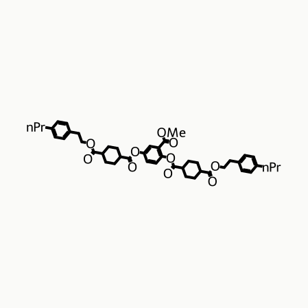 CCCc1ccc(CCOC(=O)C2CCC(C(=O)Oc3ccc(OC(=O)C4CCC(C(=O)OCCc5ccc(CCC)cc5)CC4)c(C(=O)OC)c3)CC2)cc1